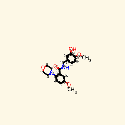 COc1ccc(N2CCOCC2)c(C(=O)NCc2ccc(OC)c(O)c2)c1